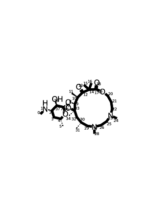 CN[C@H]1C[C@@H](C)O[C@@H](O[C@@H]2[C@@H](C)C(=O)C(C)(C)C(=O)OCCCN(C)CCN(C)C[C@H](C)C[C@@]2(C)OC)[C@@H]1O